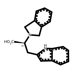 O=C(O)[C@H](Cc1cc2ccccc2[nH]1)N1Cc2ccccc2C1